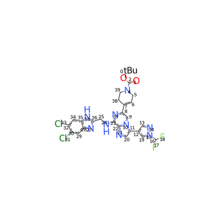 CC(C)(C)OC(=O)N1CC=C(c2cn3c(-c4cnn(C(F)F)c4)cnc3c(NCc3nc4cc(Cl)c(Cl)cc4[nH]3)n2)CC1